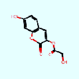 O=C(CO)Oc1cc2ccc(O)cc2oc1=O